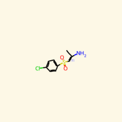 C/C(N)=C\S(=O)(=O)c1ccc(Cl)cc1